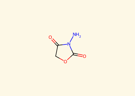 NN1C(=O)COC1=O